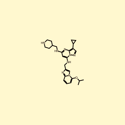 CC(C)Oc1cccc2nc(CNc3cc(NCC4CCNCC4)nc4c(C5CC5)cnn34)cn12